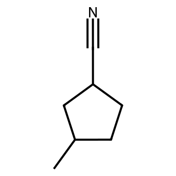 CC1CCC(C#N)C1